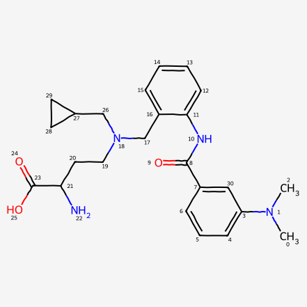 CN(C)c1cccc(C(=O)Nc2ccccc2CN(CCC(N)C(=O)O)CC2CC2)c1